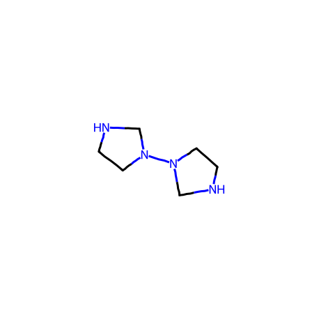 C1CN(N2CCNC2)CN1